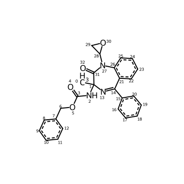 CC1(NC(=O)OCc2ccccc2)N=C(c2ccccc2)c2ccccc2N(C2CO2)C1=O